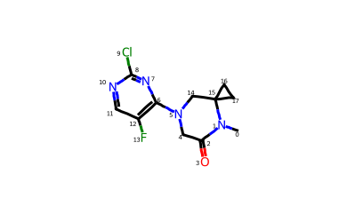 CN1C(=O)CN(c2nc(Cl)ncc2F)CC12CC2